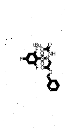 CC(C)(C)OC(=O)NN(CC(=O)OCc1ccccc1)S(=O)(=O)c1c(F)cc(F)cc1F